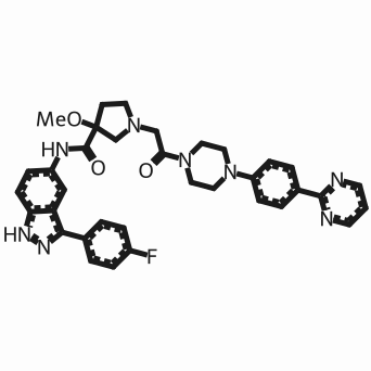 COC1(C(=O)Nc2ccc3[nH]nc(-c4ccc(F)cc4)c3c2)CCN(CC(=O)N2CCN(c3ccc(-c4ncccn4)cc3)CC2)C1